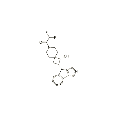 O=C(C(F)F)N1CCC2(CC1)C[C@@H](C1c3ccccc3-c3cncn31)[C@H]2O